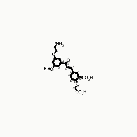 CCOc1cc(OCCN)cc(C(=O)C=Cc2ccc(OCC(=O)O)c(C(=O)O)c2)c1